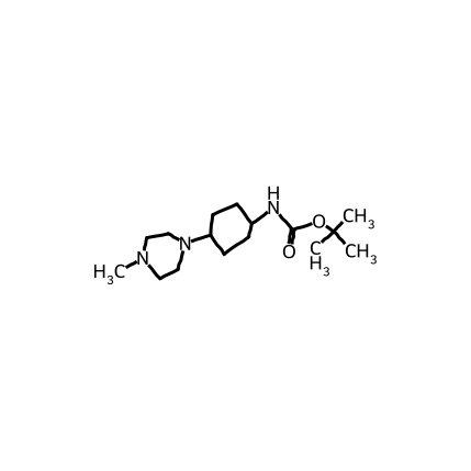 CN1CCN(C2CCC(NC(=O)OC(C)(C)C)CC2)CC1